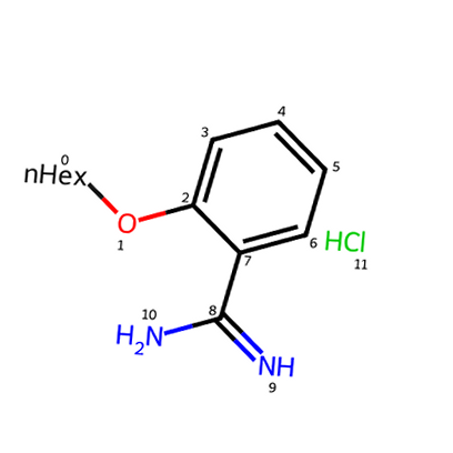 CCCCCCOc1ccccc1C(=N)N.Cl